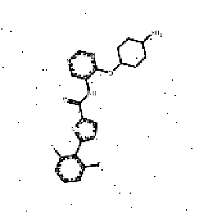 NC1CCC(Oc2ncncc2NC(=O)c2csc(-c3c(F)cccc3F)n2)CC1